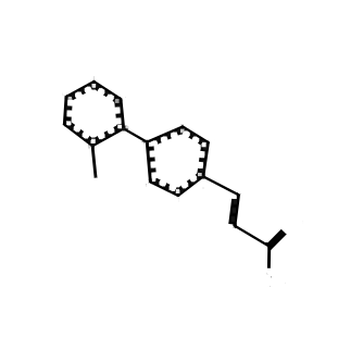 Cc1ccccc1-c1ccc(C=CC(N)=O)cc1